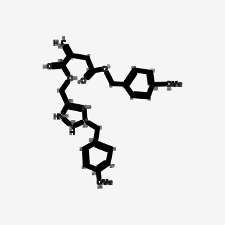 C=C(CC(=O)OCc1ccc(OC)cc1)C(=O)OCC1=NN(Cc2ccc(OC)cc2)NN1